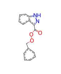 O=C(OOCc1ccccc1)c1n[nH]c2ccccc12